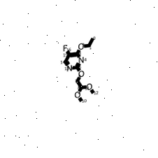 CCOc1nc(OCC(OC)OC)ncc1F